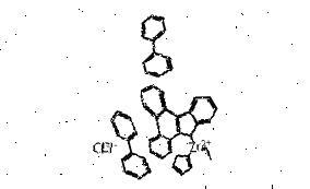 C/[CH]=[Zr+2](\[C]1=CC=CC1)[CH]1c2ccccc2-c2c1c1ccccc1c1ccccc21.[Cl-].[Cl-].c1ccc(-c2ccccc2)cc1.c1ccc(-c2ccccc2)cc1